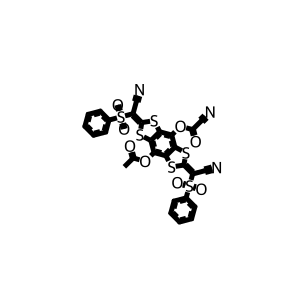 CC(=O)Oc1c2c(c(OC(=O)C#N)c3c1S/C(=C(/C#N)S(=O)(=O)c1ccccc1)S3)S/C(=C(\C#N)S(=O)(=O)c1ccccc1)S2